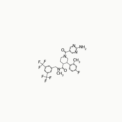 Cc1cc(F)ccc1C1CN(C(=O)c2cnc(N)nc2)CCC1C(=O)N(C)Cc1cc(C(F)(F)F)cc(C(F)(F)F)c1